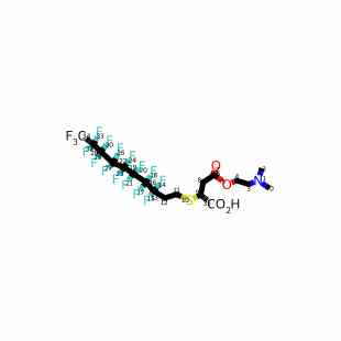 CN(C)CCOC(=O)CC(SCCC(F)(F)C(F)(F)C(F)(F)C(F)(F)C(F)(F)C(F)(F)C(F)(F)C(F)(F)F)C(=O)O